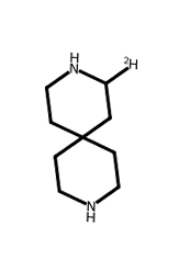 [2H]C1CC2(CCNCC2)CCN1